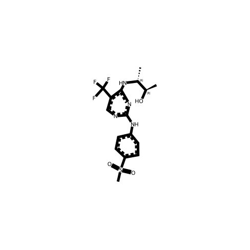 C[C@@H](O)[C@@H](C)Nc1nc(Nc2ccc(S(C)(=O)=O)cc2)ncc1C(F)(F)F